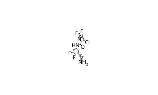 N[C@@H]1C[C@@H]1c1cc(NC(=O)c2nn(C(F)F)cc2Cl)cc(F)c1F